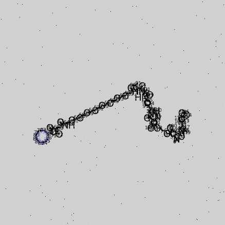 C=Nc1cc(OCCCOc2cc3c(cc2OC)C(=O)N2C=C(c4ccc(NC(=O)[C@H](C)NC(=O)C(NC(=O)CCOCCOCCOCCOCCOCCOCCOCCOCCNC(=O)CCN5C(=O)CC(C6=C/C=C\C=C/C=C\C=C/C=C\6)C5=O)C(C)C)cc4)C[C@H]2C=N3)c(OC)cc1C(=O)N1C=C(c2ccc3c(c2)OCO3)C[C@H]1C